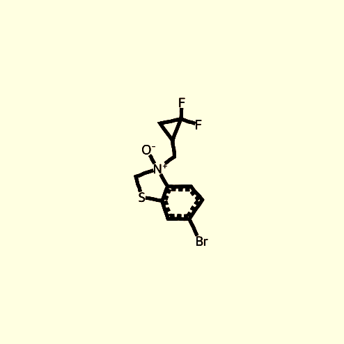 [O-][N+]1(CC2CC2(F)F)CSc2cc(Br)ccc21